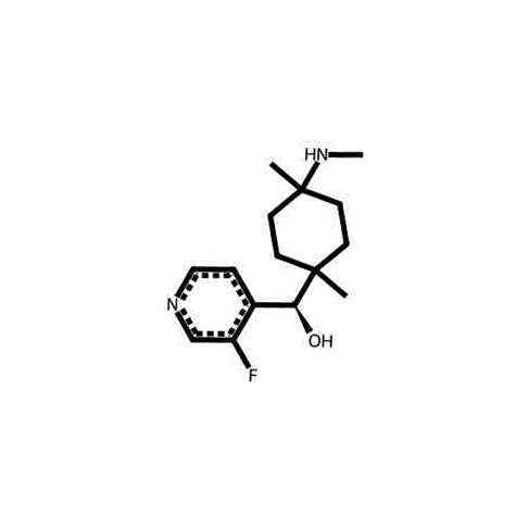 CNC1(C)CCC(C)([C@@H](O)c2ccncc2F)CC1